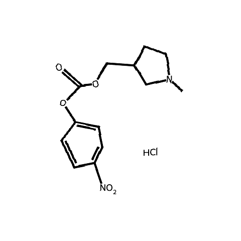 CN1CCC(COC(=O)Oc2ccc([N+](=O)[O-])cc2)C1.Cl